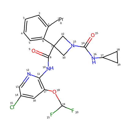 CC(C)c1ccccc1C1(C(=O)Nc2ncc(Cl)cc2OC(F)F)CN(C(=O)NC2CC2)C1